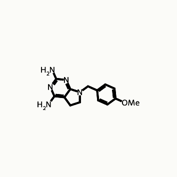 COc1ccc(CN2CCc3c(N)nc(N)nc32)cc1